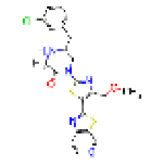 COCc1nc(N(CC(N)Cc2cccc(Cl)c2)C(C)=O)sc1-c1nc2ccncc2s1